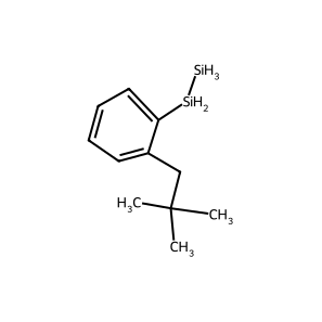 CC(C)(C)Cc1ccccc1[SiH2][SiH3]